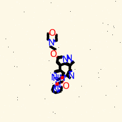 CC(C)NC(=O)CN1C2CC1CN(c1ccc(-c3cc(OCCN4CCOCC4)cn4ncc(C#N)c34)cn1)C2